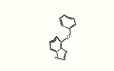 [c]1nc2c(Oc3ccccc3)cccc2[nH]1